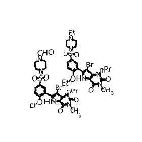 CCCn1c(=O)n(C)c(=O)c2[nH]c(-c3cc(S(=O)(=O)N4CCN(C=O)CC4)ccc3OCC)c(Br)c21.CCCn1c(=O)n(C)c(=O)c2[nH]c(-c3cc(S(=O)(=O)N4CCN(CC)CC4)ccc3OCC)c(Br)c21